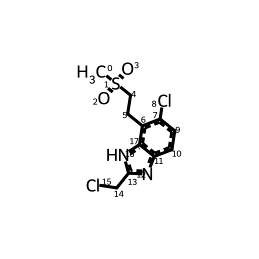 CS(=O)(=O)CCc1c(Cl)ccc2nc(CCl)[nH]c12